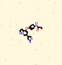 C=CC(=O)NC1CC2CC1CC2Oc1cc(-c2cnn(C)c2)cn2nccc12